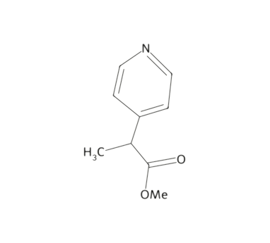 COC(=O)C(C)c1ccncc1